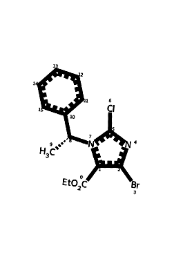 CCOC(=O)c1c(Br)nc(Cl)n1[C@H](C)c1ccccc1